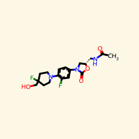 CC(=O)NC[C@H]1CN(c2ccc(N3CCC(F)(CO)CC3)c(F)c2)C(=O)O1